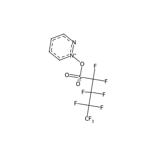 O=S(=O)(O[n+]1ccccn1)C(F)(F)C(F)(F)C(F)(F)C(F)(F)F